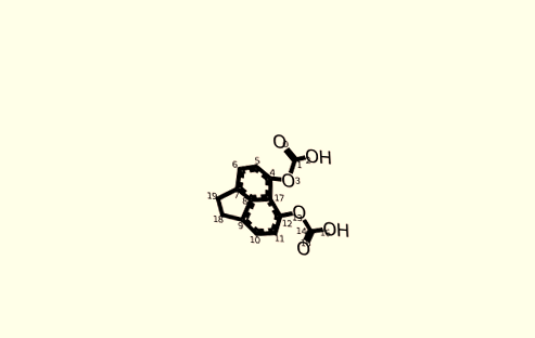 O=C(O)Oc1ccc2c3c(ccc(OC(=O)O)c13)CC2